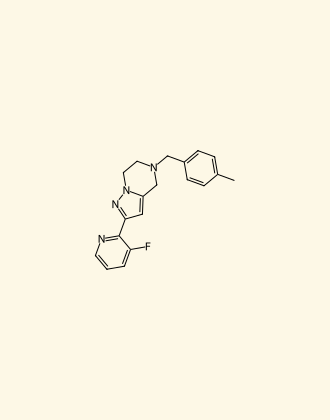 Cc1ccc(CN2CCn3nc(-c4ncccc4F)cc3C2)cc1